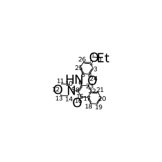 CCOc1ccc(NC2=C(N3CCOCC3)C(=O)c3ccccc3C2=O)cc1